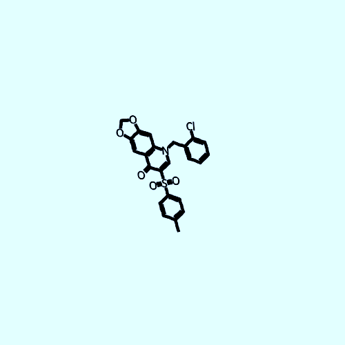 Cc1ccc(S(=O)(=O)c2cn(Cc3ccccc3Cl)c3cc4c(cc3c2=O)OCO4)cc1